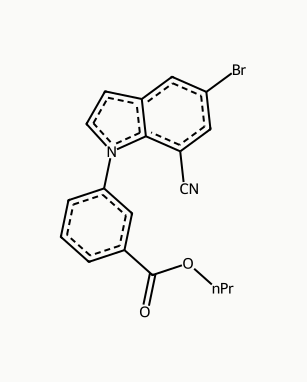 CCCOC(=O)c1cccc(-n2ccc3cc(Br)cc(C#N)c32)c1